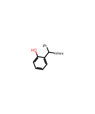 CCCCCCC(c1ccccc1O)C(C)C